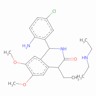 CCC1C(=O)NC(c2cc(Cl)ccc2N)c2cc(OC)c(OC)cc21.CCNCC